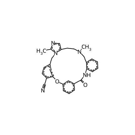 Cc1ncc2n1Cc1ccc(C#N)c(c1)Oc1cccc(c1)C(=O)Nc1ccccc1CN(C)CC2